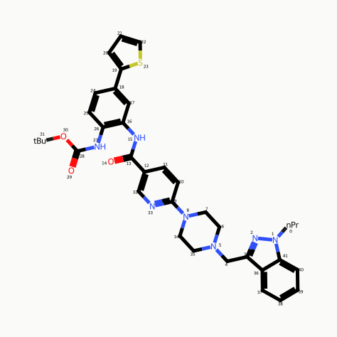 CCCn1nc(CN2CCN(c3ccc(C(=O)Nc4cc(-c5cccs5)ccc4NC(=O)OC(C)(C)C)cn3)CC2)c2ccccc21